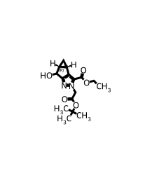 CCOC(=O)c1c2c(nn1CC(=O)OC(C)(C)C)C(O)[C@@H]1C[C@H]21